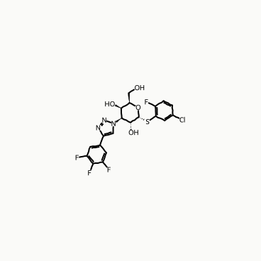 OC[C@H]1O[C@H](Sc2cc(Cl)ccc2F)[C@H](O)[C@@H](n2cc(-c3cc(F)c(F)c(F)c3)nn2)[C@H]1O